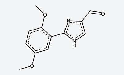 COc1ccc(OC)c(-c2nc(C=O)c[nH]2)c1